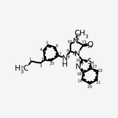 CCCc1cccc(NC2CN(C)C(=O)N2c2nc3ccccc3s2)c1